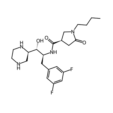 CCCCN1C[C@H](C(=O)N[C@@H](Cc2cc(F)cc(F)c2)[C@@H](O)[C@H]2CNCCN2)CC1=O